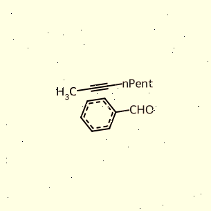 CC#CCCCCC.O=Cc1ccccc1